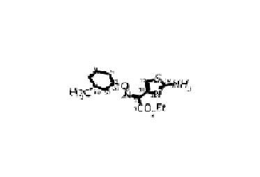 CCOC(=O)C(=NO[C@H]1CCC[C@@H](C)C1)c1csc(N)n1